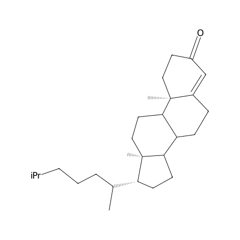 CC(C)CCCC(C)[C@H]1CCC2C3CCC4=CC(=O)CC[C@]4(C)C3CC[C@@]21C